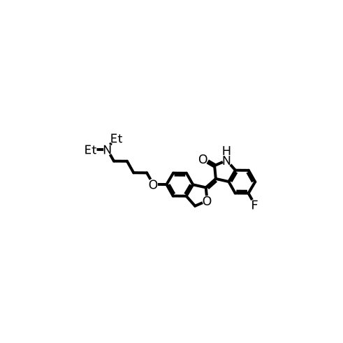 CCN(CC)CCCCOc1ccc2c(c1)COC2=C1C(=O)Nc2ccc(F)cc21